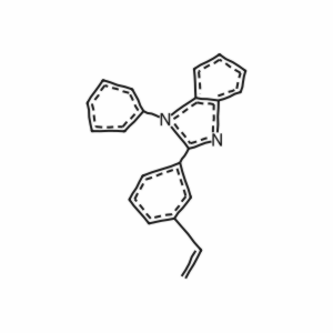 C=Cc1cccc(-c2nc3ccccc3n2-c2ccccc2)c1